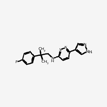 CC(C)(CNc1ccc(-c2cn[nH]c2)nn1)c1ccc(F)cc1